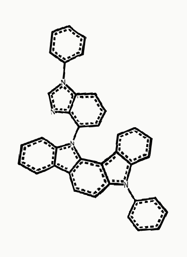 c1ccc(-n2cnc3c(-n4c5ccccc5c5ccc6c(c7ccccc7n6-c6ccccc6)c54)cccc32)cc1